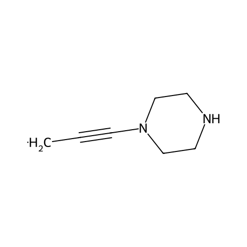 [CH2]C#CN1CCNCC1